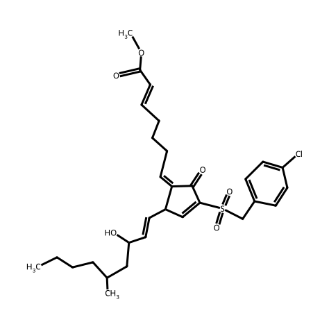 CCCCC(C)CC(O)/C=C/C1C=C(S(=O)(=O)Cc2ccc(Cl)cc2)C(=O)/C1=C\CCC/C=C/C(=O)OC